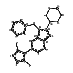 Cc1noc(C)c1-c1cnc2nc(C3CCOCC3)n(Cc3ccccc3)c2c1